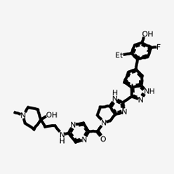 CCc1cc(O)c(F)cc1-c1ccc2c(-c3nc4c([nH]3)CCN(C(=O)c3cnc(NCCC5(O)CCN(C)CC5)cn3)C4)n[nH]c2c1